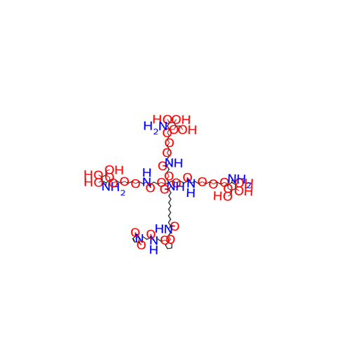 NC1C(OCCOCCOCCNC(=O)CCOCC(COCCC(=O)NCCOCCOCCOC2OC(CO)C(O)C(O)C2N)(COCCC(=O)NCCOCCOCCOC2OC(CO)C(O)C(O)C2N)NC(=O)CCCCCCCCCCC(=O)NCCOC2(OCCNC(=O)CCN3C(=O)C=CC3=O)CCCC2)OC(CO)C(O)C1O